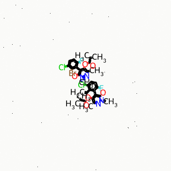 C=Cc1c(Cl)ccc(F)c1-c1c(OC(=O)C(C)C)c(C)nn(C)c1=O.Cc1nn(C)c(=O)c(-c2c(F)ccc(Cl)c2Br)c1OC(=O)C(C)C